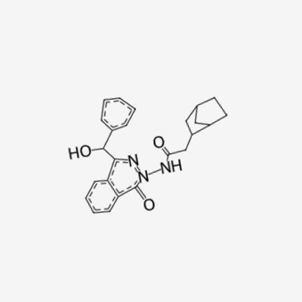 O=C(CC1CC2CCC1C2)Nn1nc(C(O)c2ccccc2)c2ccccc2c1=O